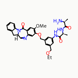 CCOCc1cc(COc2cc3c(cc2OC)C(=O)N2c4ccccc4C[C@H]2C=N3)cc(NC(=O)[C@H](C)NC(=O)[C@H](C)N)c1